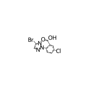 O=C(O)c1cc(Cl)ccc1-n1ncc(Br)n1